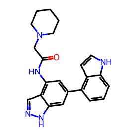 O=C(CN1CCCCC1)Nc1cc(-c2cccc3[nH]ccc23)cc2[nH]ncc12